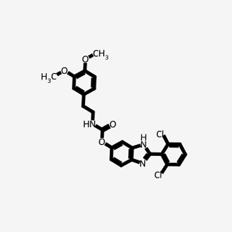 COc1ccc(CCNC(=O)Oc2ccc3nc(-c4c(Cl)cccc4Cl)[nH]c3c2)cc1OC